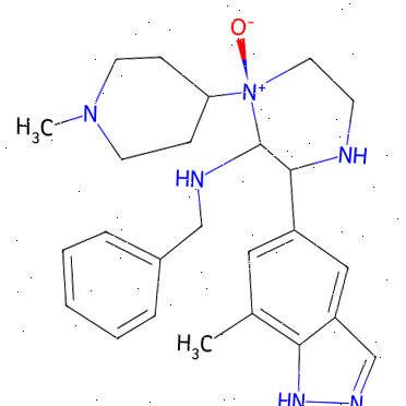 Cc1cc(C2NCC[N@@+]([O-])(C3CCN(C)CC3)C2NCc2ccccc2)cc2cn[nH]c12